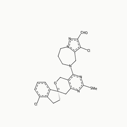 CSc1nc2c(c(N3CCCn4nc(C=O)c(Cl)c4C3)n1)CO[C@@]1(CCc3c(Cl)cccc31)C2